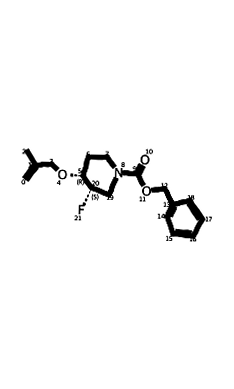 C=C(C)CO[C@@H]1CCN(C(=O)OCc2ccccc2)C[C@@H]1F